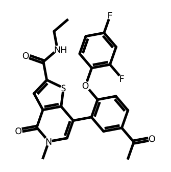 CCNC(=O)c1cc2c(=O)n(C)cc(-c3cc(C(C)=O)ccc3Oc3ccc(F)cc3F)c2s1